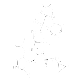 CC(C)C[C@H](NC(=O)C1(O)c2ccccc2-c2ccccc21)C(=O)NC(C[C@@H]1CCNC1=O)C(=O)C(=O)NC1CC1